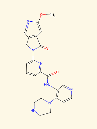 COc1cc2c(cn1)CN(c1cccc(C(=O)Nc3cnccc3N3CCNCC3)n1)C2=O